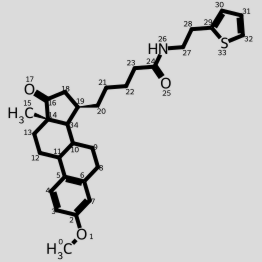 COc1ccc2c(c1)CCC1C2CC[C@]2(C)C(=O)C[C@@H](CCCCC(=O)NCCc3cccs3)C12